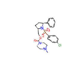 CN1CCN(C(=O)OC[C@H]2CC[C@@H](c3ccccc3)N2S(=O)(=O)c2ccc(Cl)cc2)CC1